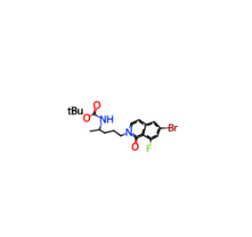 CC(CCCn1ccc2cc(Br)cc(F)c2c1=O)NC(=O)OC(C)(C)C